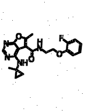 Cc1oc2ncnc(NC3(C)CC3)c2c1C(=O)NCCOc1ccccc1F